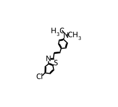 CN(C)c1ccc(C=Cc2nc3cc(Cl)ccc3s2)cc1